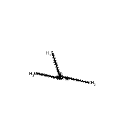 CCCCCCCCC/C=C/C=C/C=C/C=C/C=C/C(=O)OCCc1ccc(OC(=O)/C=C/C=C/C=C/C=C/C=C/CCCCCCCCC)c(OC(=O)/C=C/C=C/C=C/C=C/C=C/CCCCCCCCC)c1